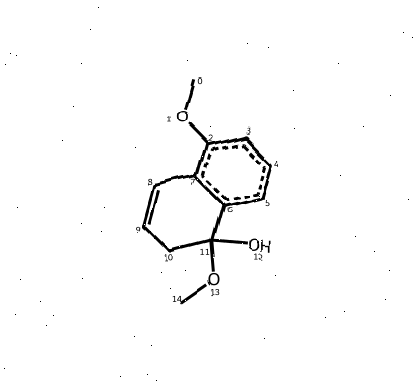 COc1cccc2c1C=CCC2(O)OC